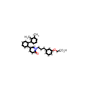 Cc1cccc(-c2ccccc2-c2ccc(=O)n(CCCc3cccc(OCC(=O)O)c3)c2)c1C